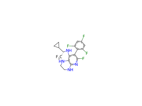 Fc1cc(F)c(-c2c(F)nc3c(c2N[C@@H](C2CC2)C(F)(F)F)NCCN3)c(F)c1